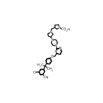 CC(C)(c1ccc(OCc2ccnc(N3CCN(C4CCN(CC5CCN(C(=O)O)C5)C4)CC3)n2)cc1)c1cc(Cl)cc(C#N)c1